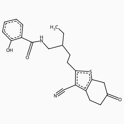 CCC(CCc1sc2c(c1C#N)CCC(=O)C2)CNC(=O)c1ccccc1O